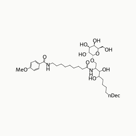 CCCCCCCCCCCCCCC(O)C(O)C(CO[C@H]1O[C@H](CO)[C@H](O)[C@H](O)[C@H]1O)NC(=O)CCCCCCCCNC(=O)c1ccc(OC)cc1